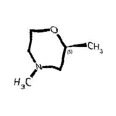 C[C@H]1CN(C)CCO1